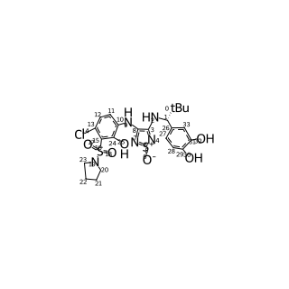 CC(C)(C)[C@@H](Nc1n[s+]([O-])nc1Nc1ccc(Cl)c(S(=O)(=O)N2CCCC2)c1O)c1ccc(O)c(O)c1